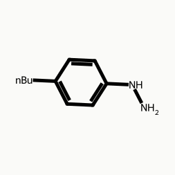 CCCCc1ccc(NN)cc1